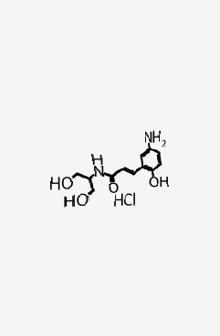 Cl.Nc1ccc(O)c(C=CC(=O)NC(CO)CO)c1